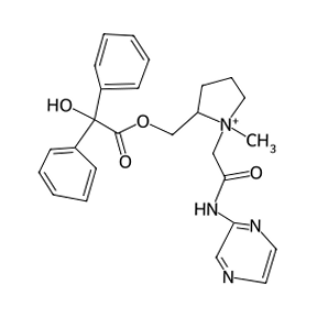 C[N+]1(CC(=O)Nc2cnccn2)CCCC1COC(=O)C(O)(c1ccccc1)c1ccccc1